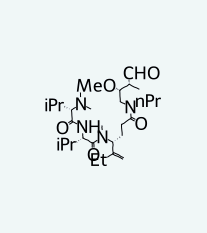 C=C(CC)[C@@H](CCC(=O)N(CCC)C[C@H](OC)[C@@H](C)C=O)N(C)C(=O)[C@@H](NC(=O)[C@H](C(C)C)N(C)C)C(C)C